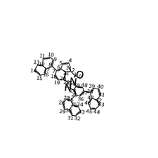 O=c1c2cccc3c(-c4cccc5ccccc45)ccc(c32)c2nc3c(-c4cccc5ccccc45)cc(-c4cccc5ccccc45)cc3n12